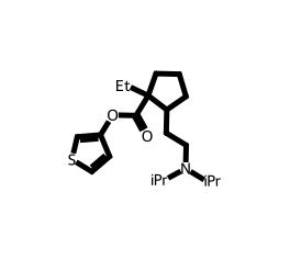 CCC1(C(=O)Oc2ccsc2)CCCC1CCN(C(C)C)C(C)C